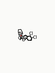 CC(=O)N1CC2CCC(C1)N2C(=O)c1cc2c(Cl)c(Cl)ccc2[nH]1